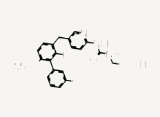 COc1ccc(Cc2ccc(NC(=O)NCC(=O)O)nc2)c(F)c1-c1cccc(Cl)c1